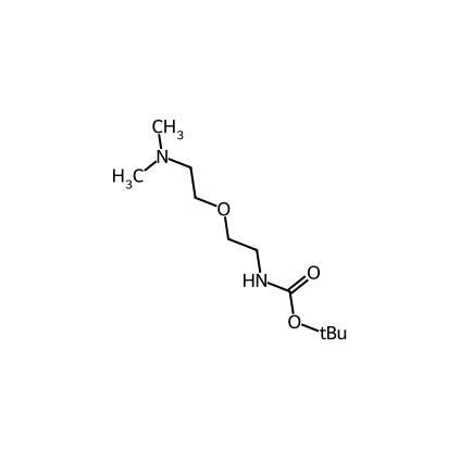 CN(C)CCOCCNC(=O)OC(C)(C)C